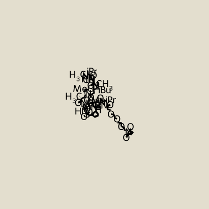 CC[C@H](C)[C@@H]([C@@H](CC(=O)N1CCC[C@H]1[C@H](OC)[C@@H](C)C(=O)NCC(=O)NS(=O)(=O)Cc1cccc(C2(NC(=O)CNC(=O)C(NC(=O)CCOCCOCCOCCN3C(=O)C=CC3=O)C(C)C)CC2)c1)OC)N(C)C(=O)CNC(=O)C(C(C)C)N(C)C